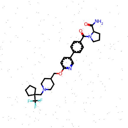 NC(=O)C1CCCN1C(=O)c1ccc(-c2ccc(OCC3CCN(CC4(C(F)(F)F)CCCC4)CC3)nc2)cc1